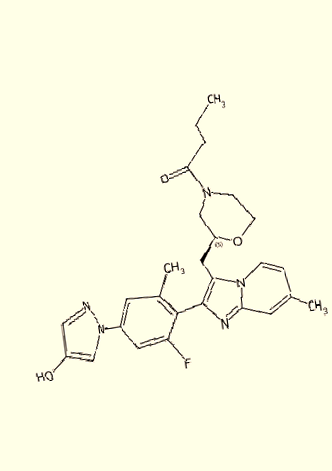 CCCC(=O)N1CCO[C@@H](Cc2c(-c3c(C)cc(-n4cc(O)cn4)cc3F)nc3cc(C)ccn23)C1